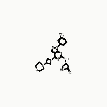 O=C1C[C@H](Nc2nc(N3CC(N4CCOCC4)C3)c3cnn(-c4cccc(C(F)(F)F)c4)c3n2)CN1